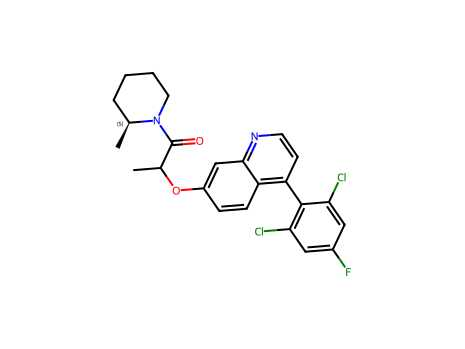 CC(Oc1ccc2c(-c3c(Cl)cc(F)cc3Cl)ccnc2c1)C(=O)N1CCCC[C@@H]1C